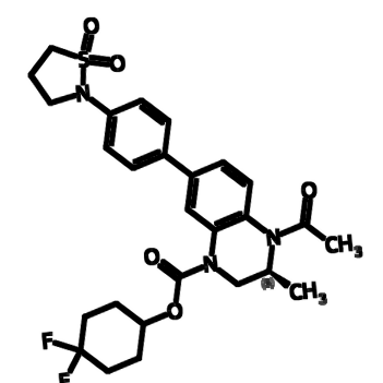 CC(=O)N1c2ccc(-c3ccc(N4CCCS4(=O)=O)cc3)cc2N(C(=O)OC2CCC(F)(F)CC2)C[C@@H]1C